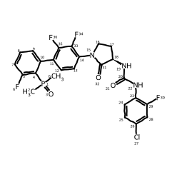 CP(C)(=O)c1c(F)cccc1-c1ccc(N2CC[C@@H](NC(=O)Nc3ccc(Cl)cc3F)C2=O)c(F)c1F